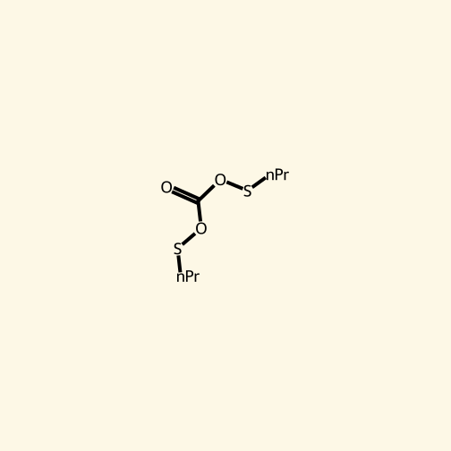 CCCSOC(=O)OSCCC